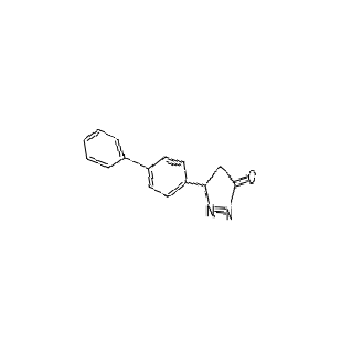 O=C1CC(c2ccc(-c3ccccc3)cc2)N=N1